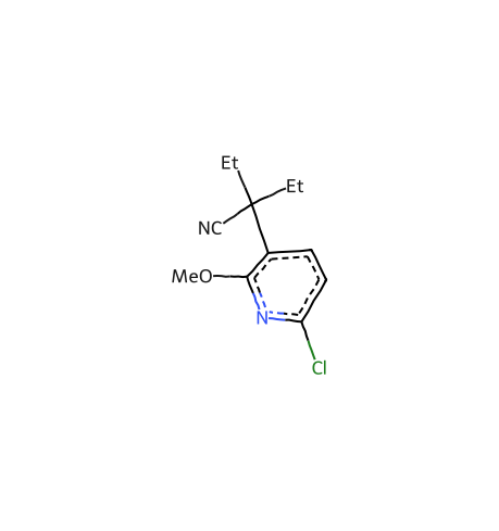 CCC(C#N)(CC)c1ccc(Cl)nc1OC